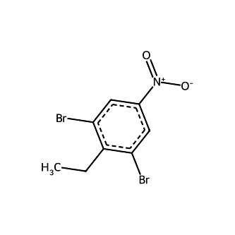 CCc1c(Br)cc([N+](=O)[O-])cc1Br